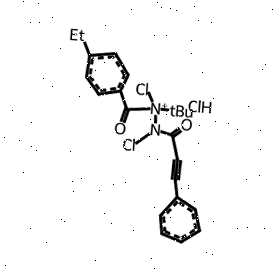 CCc1ccc(C(=O)[N+](Cl)(N(Cl)C(=O)C#Cc2ccccc2)C(C)(C)C)cc1.Cl